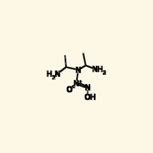 CC(N)N(C(C)N)/[N+]([O-])=N/O